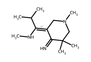 CN/C(=C1/CN(C)CC(C)(C)C1=N)C(C)C